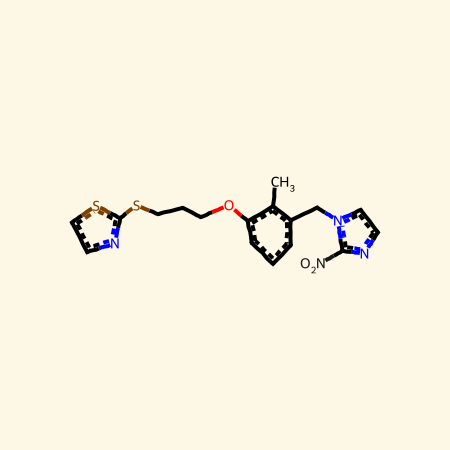 Cc1c(Cn2ccnc2[N+](=O)[O-])cccc1OCCCSc1nccs1